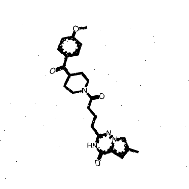 COc1ccc(C(=O)C2CCN(C(=O)CCCc3nn4cc(C)cc4c(=O)[nH]3)CC2)cc1